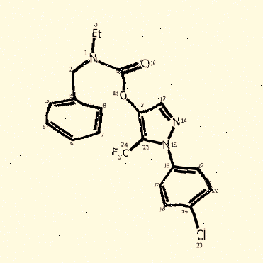 CCN(Cc1ccccc1)C(=O)Oc1cnn(-c2ccc(Cl)cc2)c1C(F)(F)F